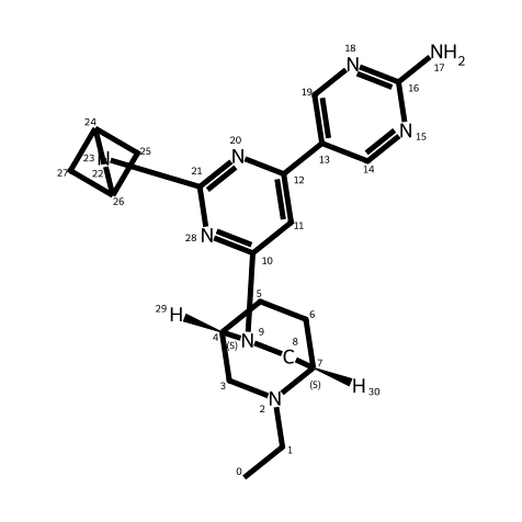 CCN1C[C@@H]2CC[C@H]1CN2c1cc(-c2cnc(N)nc2)nc(N2CC3CC2C3)n1